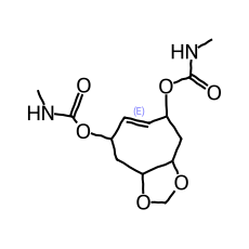 CNC(=O)OC1/C=C/C(OC(=O)NC)CC2OCOC2C1